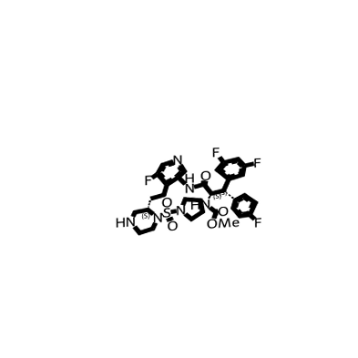 COC(=O)N[C@H](C(=O)Nc1cncc(F)c1CC[C@H]1CNCCN1S(=O)(=O)N1CCCC1)[C@@H](c1ccc(F)cc1)c1cc(F)cc(F)c1